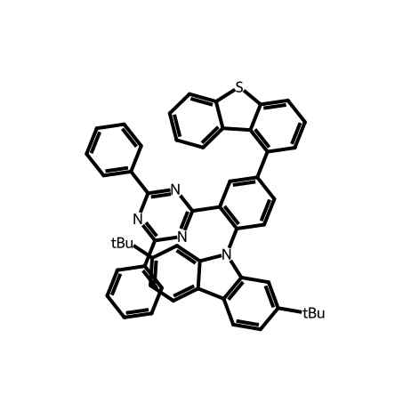 CC(C)(C)c1ccc2c3ccc(C(C)(C)C)cc3n(-c3ccc(-c4cccc5sc6ccccc6c45)cc3-c3nc(-c4ccccc4)nc(-c4ccccc4)n3)c2c1